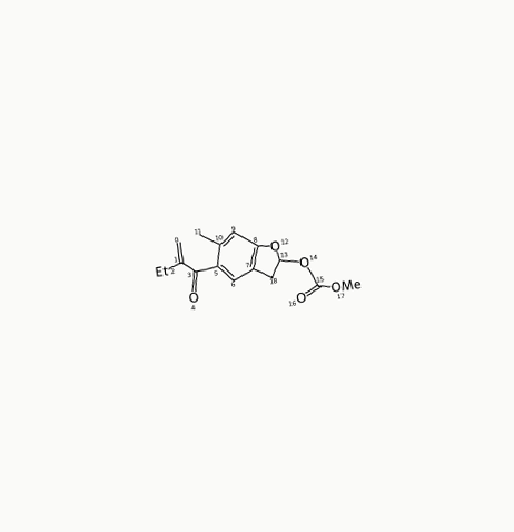 C=C(CC)C(=O)c1cc2c(cc1C)OC(OC(=O)OC)C2